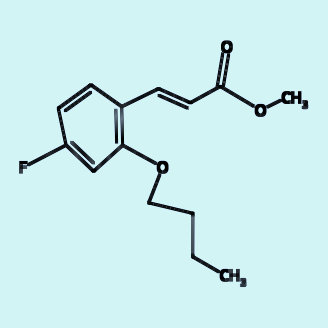 CCCCOc1cc(F)ccc1C=CC(=O)OC